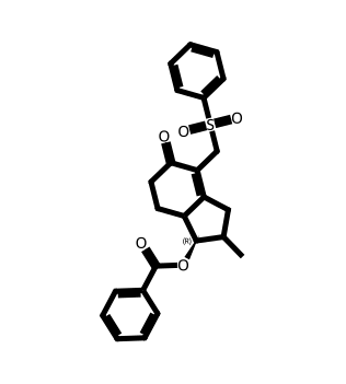 CC1CC2=C(CS(=O)(=O)c3ccccc3)C(=O)CCC2[C@@H]1OC(=O)c1ccccc1